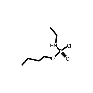 CCCCOP(=O)(Cl)NCC